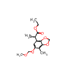 BC(C(=O)OCC)c1cc(OCOC)c(C)c2c1OCO2